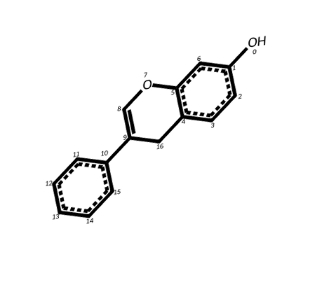 Oc1ccc2c(c1)OC=C(c1ccccc1)C2